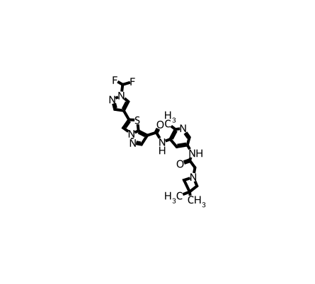 Cc1ncc(NC(=O)CN2CC(C)(C)C2)cc1NC(=O)c1cnn2cc(-c3cnn(C(F)F)c3)sc12